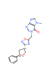 Cn1cnc2ncn(Cc3nc([C@@H]4CO[C@@H](c5ccccc5)C4)no3)c(=O)c21